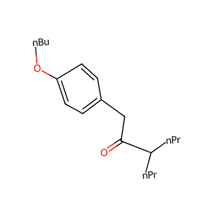 CCCCOc1ccc(CC(=O)C(CCC)CCC)cc1